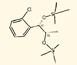 C[C@H](O[Si](C)(C)C)[C@@H](O[Si](C)(C)C)c1ccccc1Cl